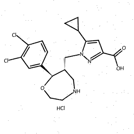 Cl.O=C(O)c1cc(C2CC2)n(C[C@@H]2CNCCO[C@H]2c2ccc(Cl)c(Cl)c2)n1